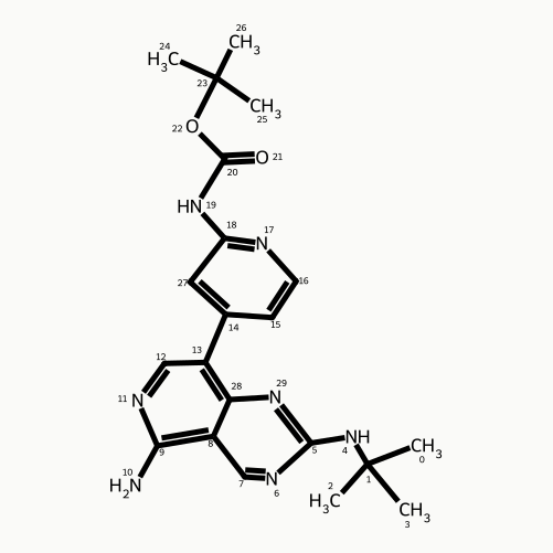 CC(C)(C)Nc1ncc2c(N)ncc(-c3ccnc(NC(=O)OC(C)(C)C)c3)c2n1